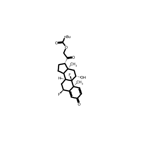 CCCCC(=O)OCC(=O)[C@H]1CCC2[C@@H]3C[C@H](F)C4=CC(=O)C=C[C@]4(C)[C@@]3(F)[C@@H](O)C[C@@]21C